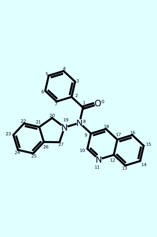 O=C(c1ccccc1)N(c1cnc2ccccc2c1)N1Cc2ccccc2C1